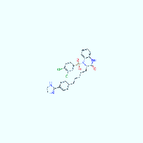 O=C1Nc2ccccc2N(S(=O)(=O)c2ccc(Cl)c(Cl)c2)[C@@H]1CCCCCc1ccc(C2=NCCN2)cc1